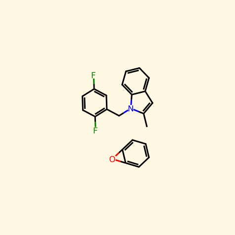 Cc1cc2ccccc2n1Cc1cc(F)ccc1F.c1ccc2c(c1)O2